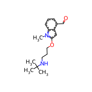 Cn1c(OCCCNC(C)(C)C)cc2c(C=O)cccc21